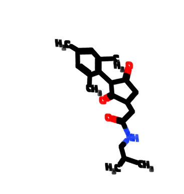 Cc1cc(C)c(C2C(=O)CC(CC(=O)NCC(C)C)C2=O)c(C)c1